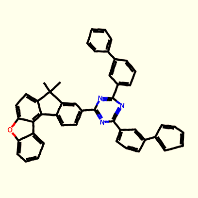 CC1(C)c2cc(-c3nc(-c4cccc(-c5ccccc5)c4)nc(-c4cccc(-c5ccccc5)c4)n3)ccc2-c2c1ccc1oc3ccccc3c21